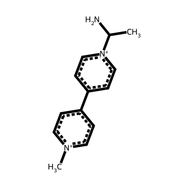 CC(N)[n+]1ccc(-c2cc[n+](C)cc2)cc1